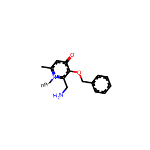 CCCn1c(C)cc(=O)c(OCc2ccccc2)c1CN